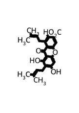 CC(C)=CCc1c(O)cc2oc3ccc(C(=O)O)c(CC=C(C)C)c3c(=O)c2c1O